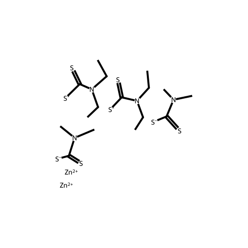 CCN(CC)C(=S)[S-].CCN(CC)C(=S)[S-].CN(C)C(=S)[S-].CN(C)C(=S)[S-].[Zn+2].[Zn+2]